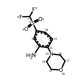 Nc1cc(S(=O)(=O)C(F)F)ccc1N1CCOCC1